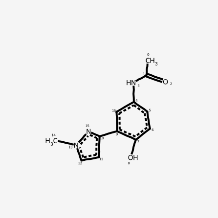 CC(=O)Nc1ccc(O)c(-c2ccn(C)n2)c1